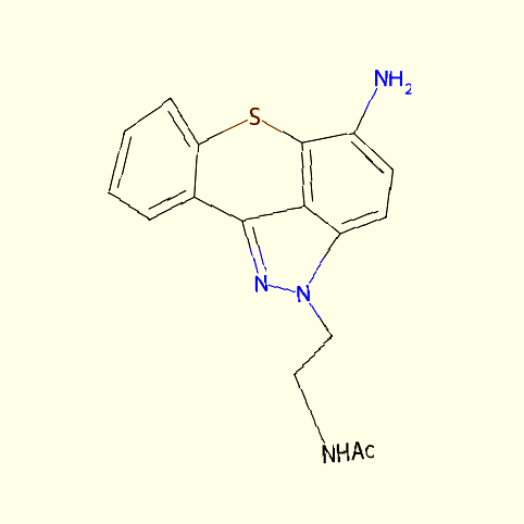 CC(=O)NCCn1nc2c3c(c(N)ccc31)Sc1ccccc1-2